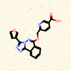 O=C(O)c1ccc(COc2nn3c(-c4ccoc4)nnc3c3ccccc23)nc1